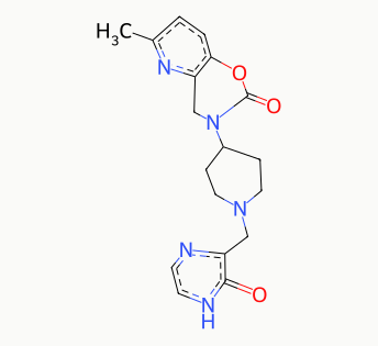 Cc1ccc2c(n1)CN(C1CCN(Cc3ncc[nH]c3=O)CC1)C(=O)O2